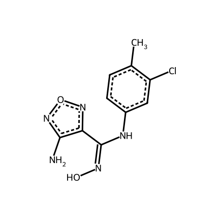 Cc1ccc(N/C(=N/O)c2nonc2N)cc1Cl